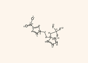 O=[N+]([O-])c1cnn(CCC2(CC(F)(F)F)N=NN=N2)c1